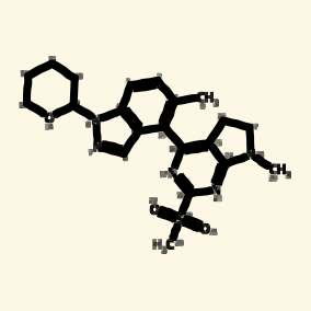 Cc1ccc2c(cnn2C2CCCCO2)c1-c1nc(S(C)(=O)=O)nc2c1CCN2C